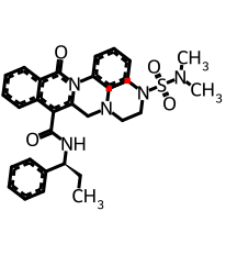 CC[C@H](NC(=O)c1c(CN2CCN(S(=O)(=O)N(C)C)CC2)n(-c2ccccc2)c(=O)c2ccccc12)c1ccccc1